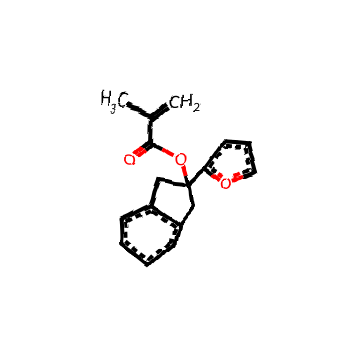 C=C(C)C(=O)OC1(c2ccco2)Cc2ccccc2C1